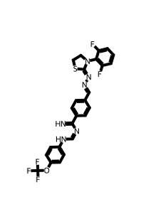 N=C(/N=C\Nc1ccc(OC(F)(F)F)cc1)c1ccc(/C=N/N=C2\SCCN2c2c(F)cccc2F)cc1